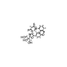 O=c1ccc(-c2oc(C(O)(CO)CO)nc2-c2ccc(F)cc2F)cn1-c1c(F)cccc1F